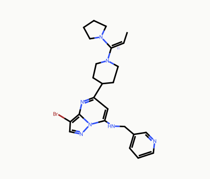 C/C=C(\N1CCCC1)N1CCC(c2cc(NCc3cccnc3)n3ncc(Br)c3n2)CC1